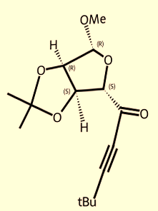 CO[C@@H]1O[C@H](C(=O)C#CC(C)(C)C)[C@H]2OC(C)(C)O[C@@H]12